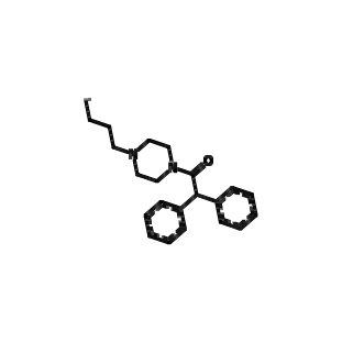 [CH2]CCCN1CCN(C(=O)C(c2ccccc2)c2ccccc2)CC1